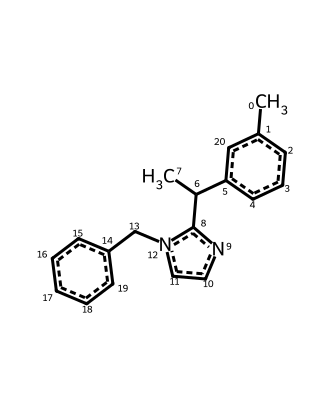 Cc1cccc(C(C)c2nccn2Cc2ccccc2)c1